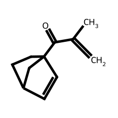 C=C(C)C(=O)C12C=CC(CC1)C2